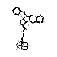 O=C1N(Cc2ccccc2)[C@@H]2CSC(=CCCCC34CC5CC(C3)OC(O5)O4)[C@@H]2N1Cc1ccccc1